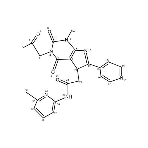 CC(=O)Cn1c(=O)c2c(n(C)c1=O)N=C(c1ccncc1)C2CC(=O)Nc1cccc(C)n1